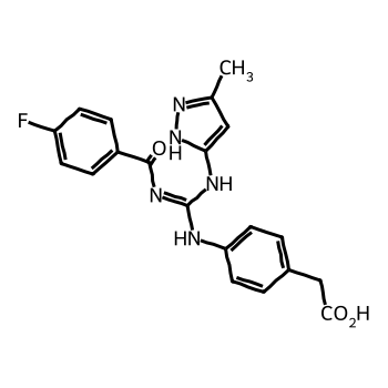 Cc1cc(N/C(=N\C(=O)c2ccc(F)cc2)Nc2ccc(CC(=O)O)cc2)[nH]n1